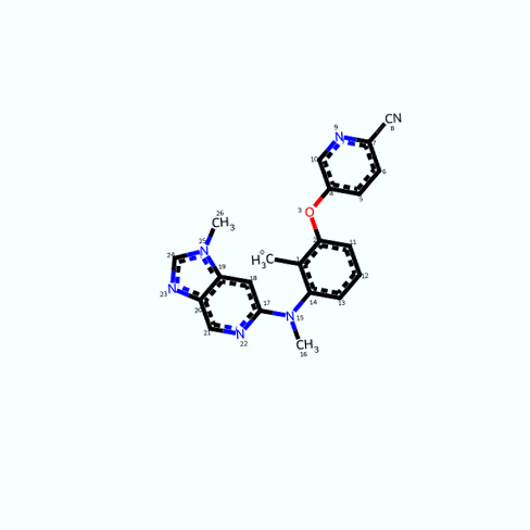 Cc1c(Oc2ccc(C#N)nc2)cccc1N(C)c1cc2c(cn1)ncn2C